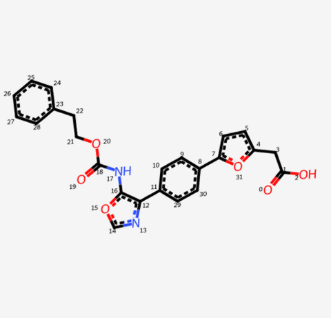 O=C(O)Cc1ccc(-c2ccc(-c3ncoc3NC(=O)OCCc3ccccc3)cc2)o1